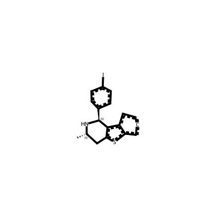 C[C@H]1Cc2sc3ccccc3c2[C@H](c2ccc(I)cc2)N1